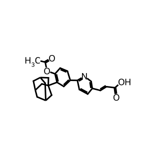 CC(=O)Oc1ccc(-c2ccc(/C=C/C(=O)O)cn2)cc1C12CC3CC(CC(C3)C1)C2